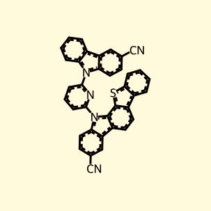 N#Cc1ccc2c(c1)c1ccccc1n2-c1cccc(-n2c3ccc(C#N)cc3c3ccc4c5ccccc5sc4c32)n1